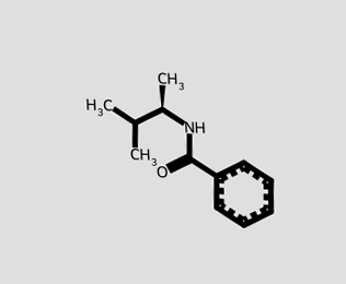 CC(C)[C@@H](C)NC(=O)c1ccccc1